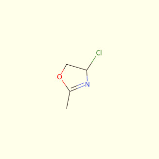 CC1=NC(Cl)CO1